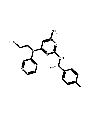 C[C@H](Nc1nc(N)cc(N(CCN)c2cnccn2)n1)c1ccc(F)cc1